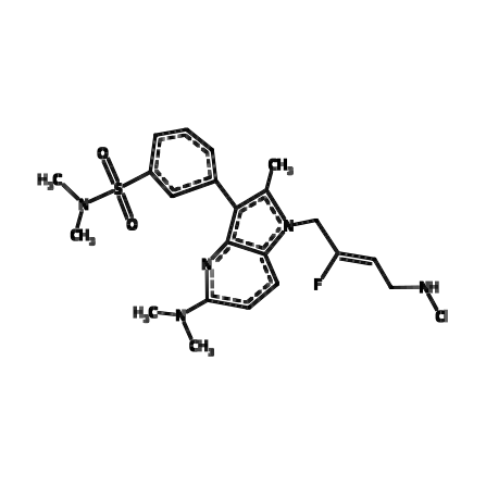 Cc1c(-c2cccc(S(=O)(=O)N(C)C)c2)c2nc(N(C)C)ccc2n1C/C(F)=C/CNCl